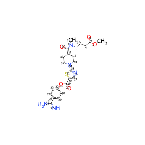 COC(=O)CCCN(C)C(=O)C1CCN(c2ncc(C(=O)Oc3ccc(C(=N)N)cc3)s2)CC1